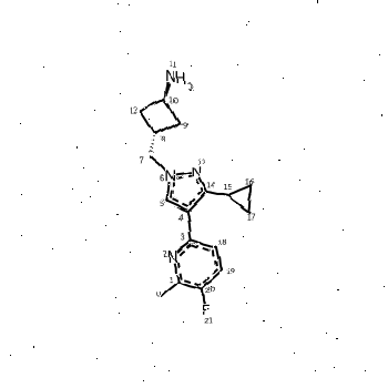 Cc1nc(-c2cn(C[C@H]3C[C@H](N)C3)nc2C2CC2)ccc1F